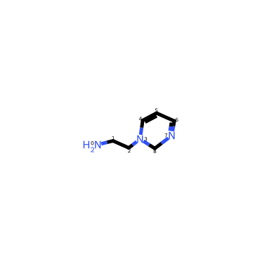 NCCN1C=CC=NC1